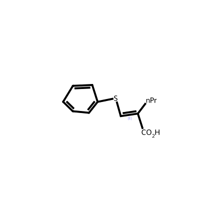 CCC/C(=C\Sc1ccccc1)C(=O)O